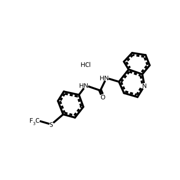 Cl.O=C(Nc1ccc(SC(F)(F)F)cc1)Nc1ccnc2ccccc12